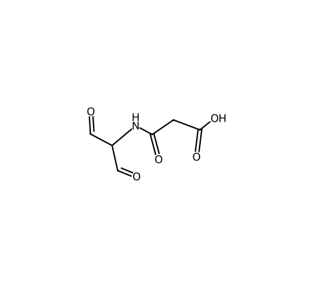 O=CC(C=O)NC(=O)CC(=O)O